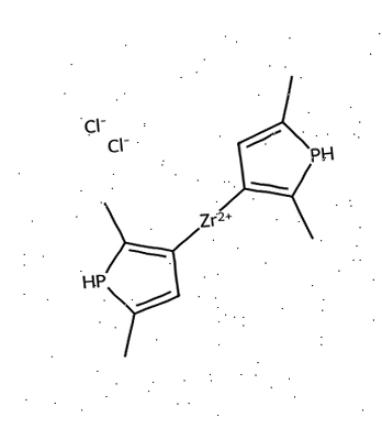 Cc1c[c]([Zr+2][c]2cc(C)[pH]c2C)c(C)[pH]1.[Cl-].[Cl-]